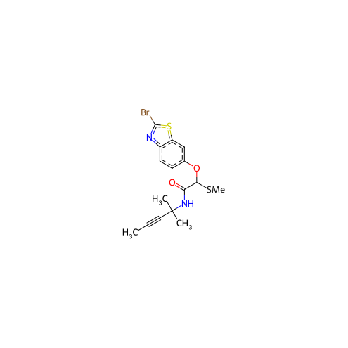 CC#CC(C)(C)NC(=O)C(Oc1ccc2nc(Br)sc2c1)SC